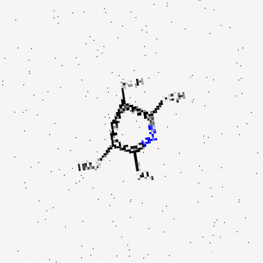 O=S(=O)(O)c1cc(S(=O)(=O)O)c(S(=O)(=O)O)nc1S(=O)(=O)O